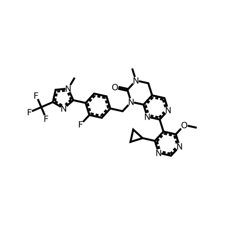 COc1ncnc(C2CC2)c1-c1ncc2c(n1)N(Cc1ccc(-c3nc(C(F)(F)F)cn3C)c(F)c1)C(=O)N(C)C2